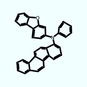 c1ccc(N(c2ccc3c(c2)oc2ccccc23)c2cccc3c2ccc2c4ccccc4ccc32)cc1